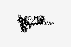 COc1cc(CCCC[C@@H](F)C2CCN([C@H](C(=O)O)c3cc(I)ccc3COC3CCOCC3)C2)nc2c1CCCN2